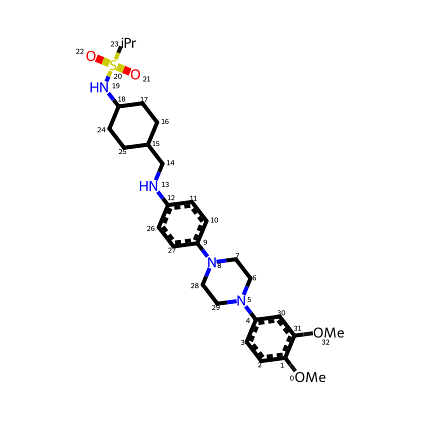 COc1ccc(N2CCN(c3ccc(NCC4CCC(NS(=O)(=O)C(C)C)CC4)cc3)CC2)cc1OC